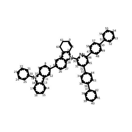 C1=Cc2c(c3cc(-c4ccc5c(c4)c4ccccc4n5-c4ccccc4)ccc3n2-c2cc(-c3ccc(-c4ccccc4)cc3)cc(-c3ccc(-c4ccccc4)cc3)n2)CC1